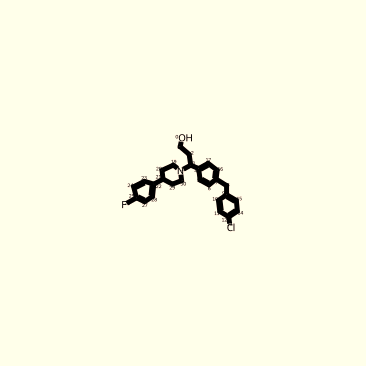 OCCC(c1ccc(Cc2ccc(Cl)cc2)cc1)N1CCC(c2ccc(F)cc2)CC1